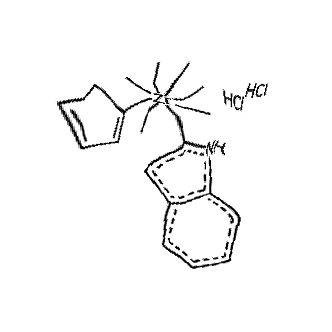 Cl.Cl.[CH3][Zr]([CH3])([CH3])([CH3])([CH3])([CH3])([C]1=CC=CC1)[c]1cc2ccccc2[nH]1